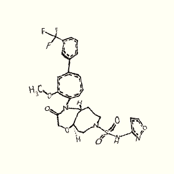 COc1cc(-c2cccc(C(F)(F)F)c2)ccc1N1C(=O)CO[C@@H]2CN(S(=O)(=O)Nc3ccon3)CC[C@H]21